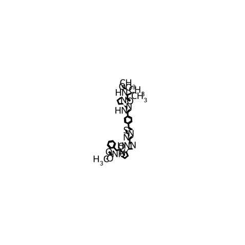 COC(=O)N[C@H](C(=O)N1CCC[C@H]1c1ncc(-c2ccc(-c3cn4cc(C5=NC[C@@H](C6CCCN6C(=O)[C@H](NC(=O)OC)c6ccccc6)N5)nc4s3)cc2)[nH]1)C(C)C